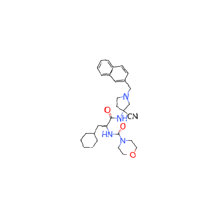 N#CC1(NC(=O)C(CC2CCCCC2)NC(=O)N2CCOCC2)CCN(Cc2ccc3ccccc3c2)C1